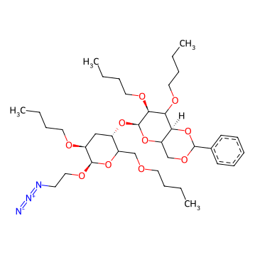 CCCCOCC1O[C@@H](OCCN=[N+]=[N-])[C@@H](OCCCC)C[C@@H]1O[C@@H]1OC2COC(c3ccccc3)O[C@@H]2C(OCCCC)[C@@H]1OCCCC